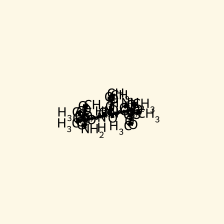 CC(=O)OC[C@H]1O[C@@H](OCCCNC(=O)C[C@H](NC(=O)OC[C@H]2COC(C)(C)O2)C(=O)NCCCO[C@@H]2O[C@H](COC(C)=O)[C@H](OC(C)=O)[C@H](OC(C)=O)[C@H]2CC(N)=O)[C@H](CC(N)=O)[C@@H](OC(C)=O)[C@H]1OC(C)=O